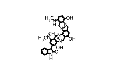 CNc1ccc(O)c2c1CN1CN2Cc2cc(O)c3c(c21)N1Cc2c(N(C)C)cc(C4C(=O)Nc5ccccc54)c(O)c2N(C3)C1